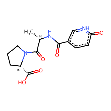 C[C@H](NC(=O)c1ccc(=O)[nH]c1)C(=O)N1CCC[C@H]1C(=O)O